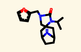 CC(C)N1C(=O)N(Cc2ccco2)CC12CC1CCC(C2)N1